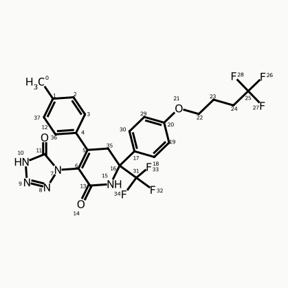 Cc1ccc(C2=C(n3nn[nH]c3=O)C(=O)NC(c3ccc(OCCCC(F)(F)F)cc3)(C(F)(F)F)C2)cc1